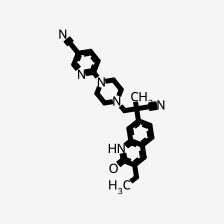 CCc1cc2ccc(C(C)(C#N)CN3CCN(c4ccc(C#N)cn4)CC3)cc2[nH]c1=O